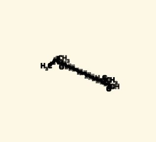 CCCCC(CC)COC(=O)CCCCCCCCCCCCCCCCCCCCC(CCC(=O)O)C(C)C